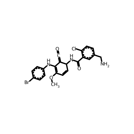 COC1=C(Nc2ccc(Br)cc2)C(=C=O)C(NC(=O)c2cc(CN)ccc2Cl)C=C1